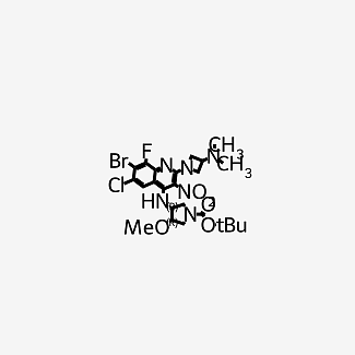 CO[C@@H]1CN(C(=O)OC(C)(C)C)C[C@H]1Nc1c([N+](=O)[O-])c(N2CC(N(C)C)C2)nc2c(F)c(Br)c(Cl)cc12